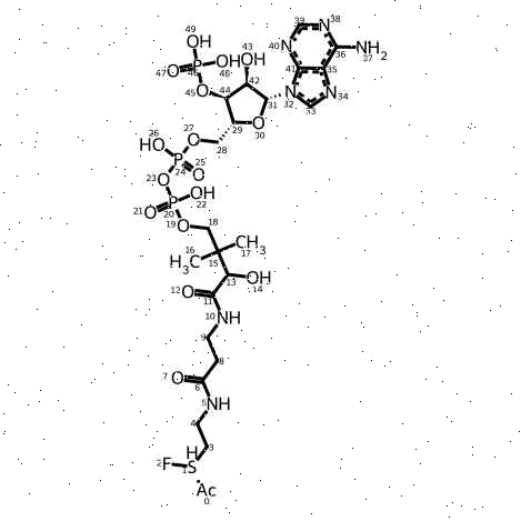 CC(=O)[SH](F)CCNC(=O)CCNC(=O)C(O)C(C)(C)COP(=O)(O)OP(=O)(O)OC[C@H]1O[C@@H](n2cnc3c(N)ncnc32)[C@H](O)[C@@H]1OP(=O)(O)O